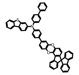 c1ccc(-c2ccc(N(c3ccc(-c4ccc5c(c4)Oc4ccc6c(c4O5)-c4ccccc4C64c5ccccc5-c5ccccc54)cc3)c3ccc4c(c3)sc3ccccc34)cc2)cc1